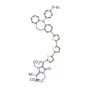 CCOc1ccc(N2c3ccccc3CCc3cc(-c4ccc(-c5ccc(-c6ccc(/C=c7\c(=O)n(CC(=O)O)/c(=C(/C#N)C(=O)O)n7CC(=O)O)s6)s5)s4)ccc32)cc1